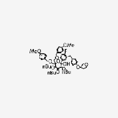 CCCCOC1[C@@H](OCCCC)[C@H](OCCCC)C(COCc2ccc(OC)cc2)(COCc2ccc(OC)cc2)OC1(O)c1ccc(F)c(Cc2ccc(OC3CCOC3)cc2)c1